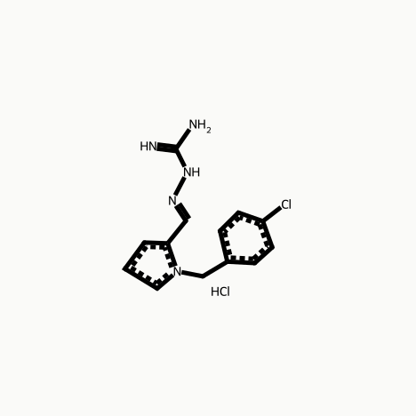 Cl.N=C(N)NN=Cc1cccn1Cc1ccc(Cl)cc1